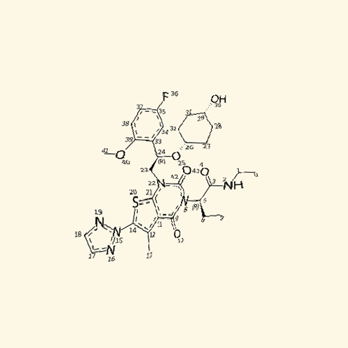 CCNC(=O)[C@@H](CC)n1c(=O)c2c(C)c(-n3nccn3)sc2n(C[C@H](O[C@H]2CC[C@@H](O)CC2)c2cc(F)ccc2OC)c1=O